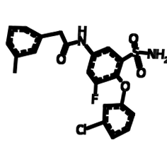 Cc1cccc(CC(=O)Nc2cc(F)c(Oc3cccc(Cl)c3)c(S(N)(=O)=O)c2)c1